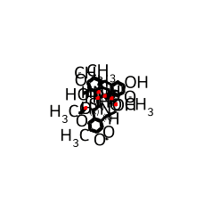 COc1cc2c(cc1O)CCN[C@]21CS[C@@H]2c3c(OC(C)=O)c(C)c4c(c3[C@H](COC1=O)N1[C@@H]2[C@@H]2N[C@H](Cc3cc(C)c(OC)c(O)c32)[C@@H]1O)OCO4